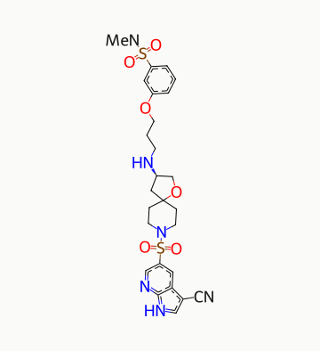 CNS(=O)(=O)c1cccc(OCCCN[C@H]2COC3(CCN(S(=O)(=O)c4cnc5[nH]cc(C#N)c5c4)CC3)C2)c1